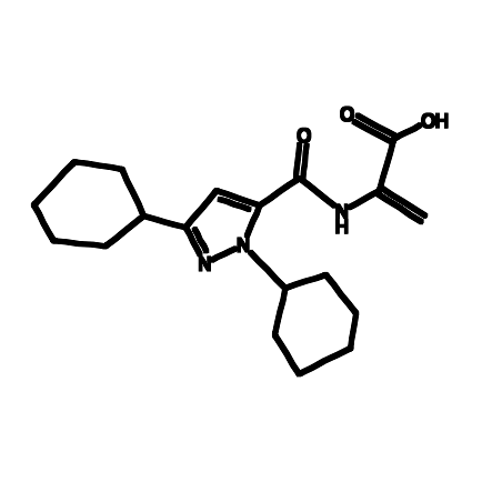 C=C(NC(=O)c1cc(C2CCCCC2)nn1C1CCCCC1)C(=O)O